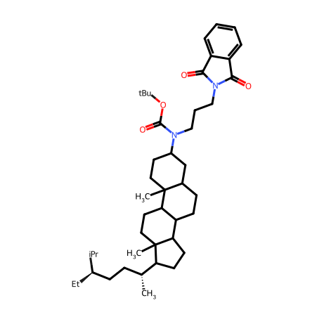 CC[C@H](CC[C@@H](C)C1CCC2C3CCC4CC(N(CCCN5C(=O)c6ccccc6C5=O)C(=O)OC(C)(C)C)CCC4(C)C3CCC21C)C(C)C